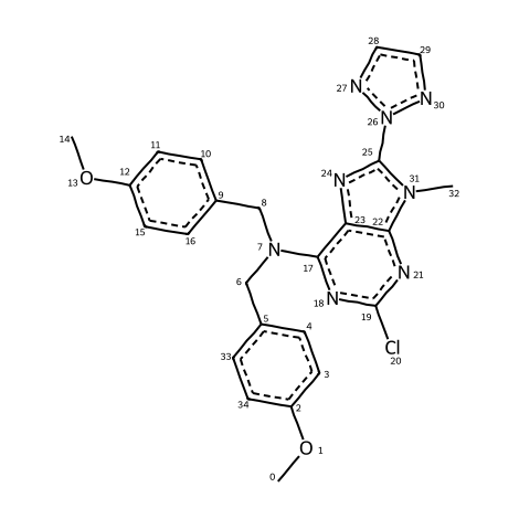 COc1ccc(CN(Cc2ccc(OC)cc2)c2nc(Cl)nc3c2nc(-n2nccn2)n3C)cc1